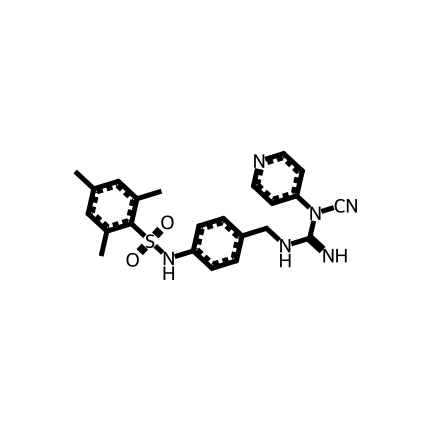 Cc1cc(C)c(S(=O)(=O)Nc2ccc(CNC(=N)N(C#N)c3ccncc3)cc2)c(C)c1